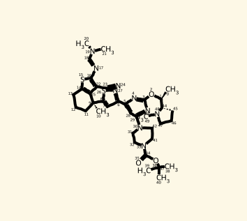 C[C@H](Oc1nc(-c2cc([C@@]3(C)CCCc4sc(/N=C/N(C)C)c(C#N)c43)sn2)cc(N2CCN(C(=O)OC(C)(C)C)CC2)n1)[C@@H]1CCCN1C